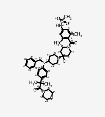 Cc1cc(NS(C)(=O)=O)cc(C)c1C(=O)N1CCC(C)(N2CCC(N(Cc3ccccc3)c3ccc(C(C)(C)C(=O)N4CCOCC4)cc3)CC2)CC1